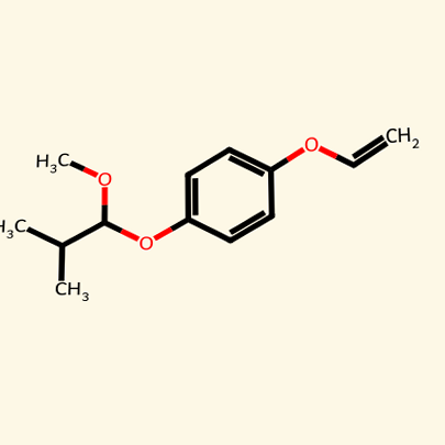 C=COc1ccc(OC(OC)C(C)C)cc1